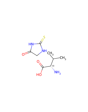 CC(C)[C@H](N)C(=O)O.O=C1CNC(=S)N1